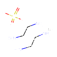 NCCN.NCCN.O=S(=O)([O-])[O-].[Ni+2]